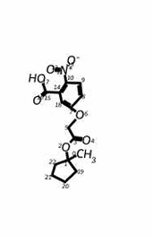 CC1(OC(=O)COc2ccc([N+](=O)[O-])c(C(=O)O)c2)CCCC1